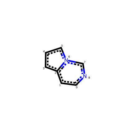 [c]1cc2cccn2cn1